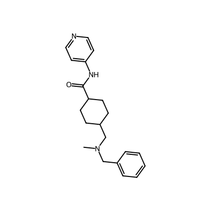 CN(Cc1ccccc1)CC1CCC(C(=O)Nc2ccncc2)CC1